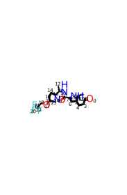 COc1ccc2cc(C(=O)NC(C)c3ccc(OCC(F)(F)F)cn3)[nH]c2c1